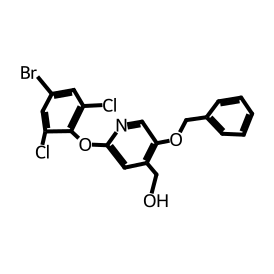 OCc1cc(Oc2c(Cl)cc(Br)cc2Cl)ncc1OCc1ccccc1